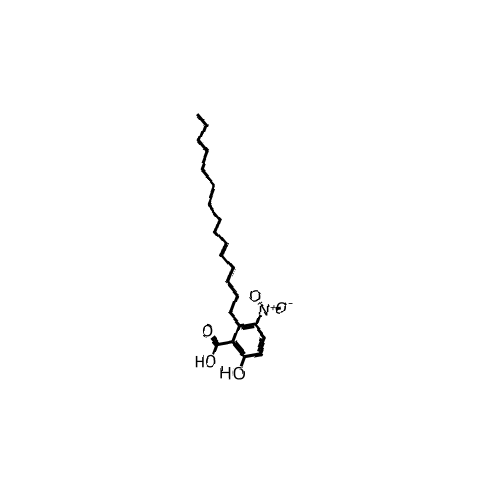 CCCCCCCCCCCCCCCc1c([N+](=O)[O-])ccc(O)c1C(=O)O